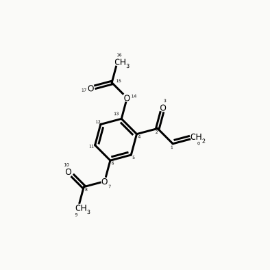 C=CC(=O)c1cc(OC(C)=O)ccc1OC(C)=O